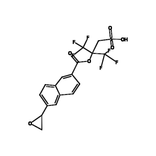 O=C(OC(CS(=O)(=O)O)(C(F)(F)F)C(F)(F)F)c1ccc2cc(C3CO3)ccc2c1